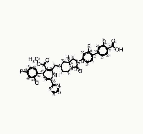 COC(=O)C1=C(CN2CCN3C(=O)N(c4ccc(-c5ccc(C(=O)O)c(F)c5)c(F)c4)C[C@@H]3C2)NC(c2nccs2)=N[C@H]1c1ccc(F)cc1Cl